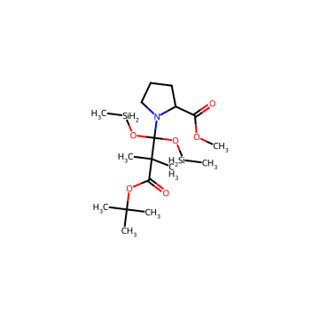 COC(=O)C1CCCN1C(O[SiH2]C)(O[SiH2]C)C(C)(C)C(=O)OC(C)(C)C